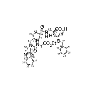 CCOC(=O)CNC(=O)N(Cc1ccc(C(=O)NC[C@H](NC(=O)OCc2ccccc2)C(=O)O)cc1)Cc1nc2ccccc2[nH]1